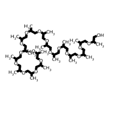 COC(C)COC(C)COC(C)COC(C)COC(C)COC(C)COC(C)COC(C)COC(C)COC(C)COC(C)COC(C)COC(C)COC(C)COC(C)COC(C)CO